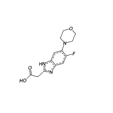 O=C(O)Cc1nc2cc(F)c(N3CCOCC3)cc2[nH]1